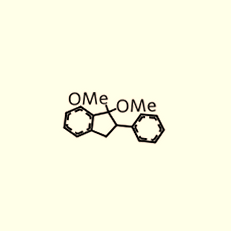 COC1(OC)c2ccccc2CC1c1ccccc1